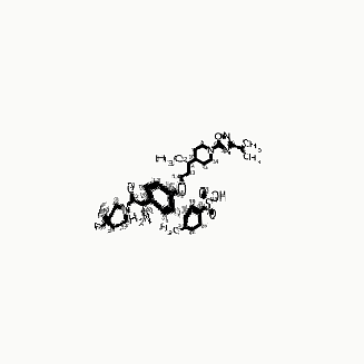 CC(C)c1noc(N2CCC([C@H](C)CCOc3ccc([C@H](N)C(=O)N4CCC(F)(F)C4)cc3)CC2)n1.Cc1ccc(S(=O)(=O)O)cc1